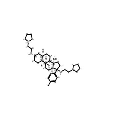 Cc1ccc([C@@]2(OCCN3CCCC3)CC[C@]3(O)[C@@H]4CC[C@@H]5C[C@@H](OCCN6CCCC6)CC[C@]5(C)[C@H]4CC[C@]23C)cc1